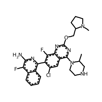 CC1CNCCN1c1nc(OCC2CCCN2C)nc2c(F)c(-c3nc(N)c(F)c4ccccc34)c(Cl)cc12